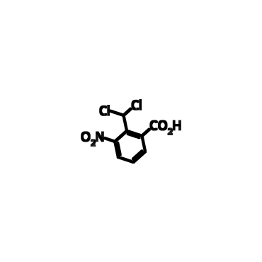 O=C(O)c1cccc([N+](=O)[O-])c1C(Cl)Cl